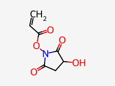 C=CC(=O)ON1C(=O)CC(O)C1=O